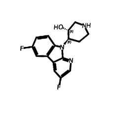 O[C@@H]1CNCC[C@H]1n1c2ccc(F)cc2c2cc(F)cnc21